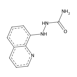 NC(=O)NNc1cccc2cccnc12